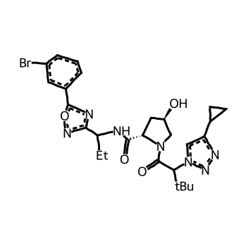 CCC(NC(=O)[C@@H]1C[C@@H](O)CN1C(=O)C(n1cc(C2CC2)nn1)C(C)(C)C)c1noc(-c2cccc(Br)c2)n1